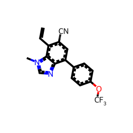 C=Cc1c(C#N)cc(-c2ccc(OC(F)(F)F)cc2)c2ncn(C)c12